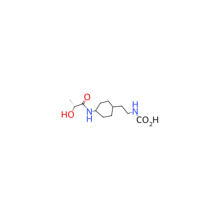 C[C@@H](O)C(=O)NC1CCC(CCNC(=O)O)CC1